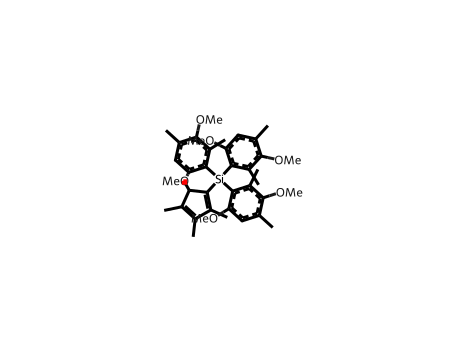 COc1cc(C)c(OC)c(C)c1[Si](C1=C(C)C(C)=C(C)C1C)(c1c(OC)cc(C)c(OC)c1C)c1c(OC)cc(C)c(OC)c1C